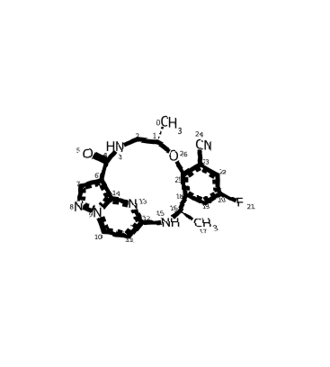 C[C@H]1CNC(=O)c2cnn3ccc(nc23)N[C@H](C)c2cc(F)cc(C#N)c2O1